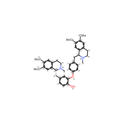 COc1cc2c(cc1OC)C(Cc1ccc(Oc3cc(C[C@@H]4c5cc(OC)c(OC)cc5CCN4C)ccc3O)cc1)N(C)CC2